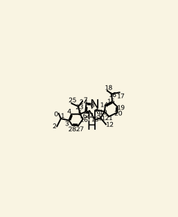 CC(C)C1=CC(c2cnc(C3(C(C)C)C=C(C(C)C)C=CC3)[nH]2)(C(C)C)CC=C1